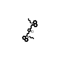 CCCCn1/c(=C/C=C2\CCC(/C=C/C3=[N+](CCCC)c4cccc5cccc3c45)=C2Cl)c2cccc3cccc1c32